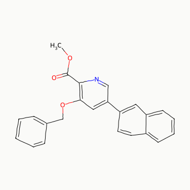 COC(=O)c1ncc(-c2ccc3ccccc3c2)cc1OCc1ccccc1